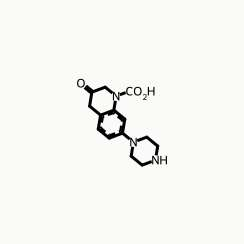 O=C1Cc2ccc(N3CCNCC3)cc2N(C(=O)O)C1